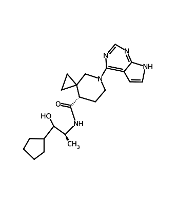 C[C@H](NC(=O)[C@H]1CCN(c2ncnc3[nH]ccc23)CC12CC2)C(O)C1CCCC1